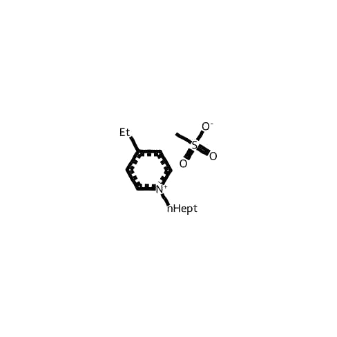 CCCCCCC[n+]1ccc(CC)cc1.CS(=O)(=O)[O-]